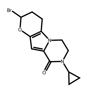 O=C1c2cc3c(n2CCN1C1CC1)CCC(Br)O3